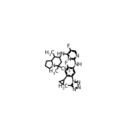 Cc1nnnn1-c1cc(Nc2ncc(F)c(NC3CC(C)(C)N4CCCC4C3C)n2)c(F)cc1C1CC1